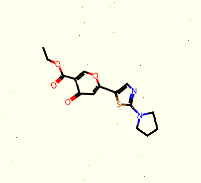 CCOC(=O)c1coc(-c2cnc(N3CCCC3)s2)cc1=O